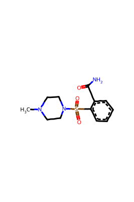 CN1CCN(S(=O)(=O)c2ccccc2C(N)=O)CC1